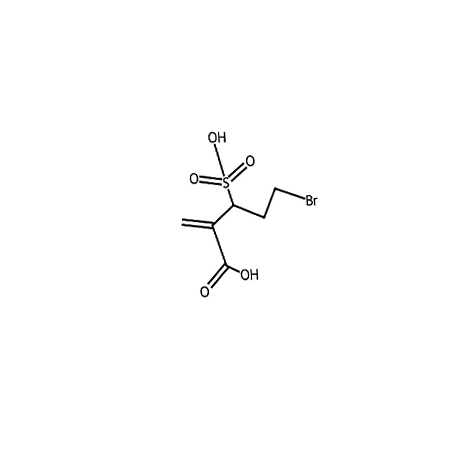 C=C(C(=O)O)C(CCBr)S(=O)(=O)O